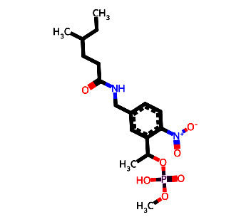 CCC(C)CCC(=O)NCc1ccc([N+](=O)[O-])c(C(C)OP(=O)(O)OC)c1